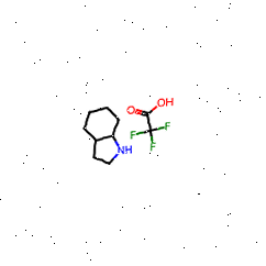 C1CCC2NCCC2C1.O=C(O)C(F)(F)F